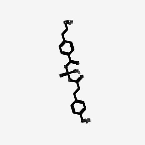 CP(=O)(OC(=O)CCc1ccc(C(=O)O)cc1)OC(=O)c1ccc(CCC(=O)O)cc1